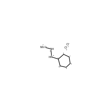 [Cl-].[Cl-].[Mn+2][NH]NC1CCCCC1